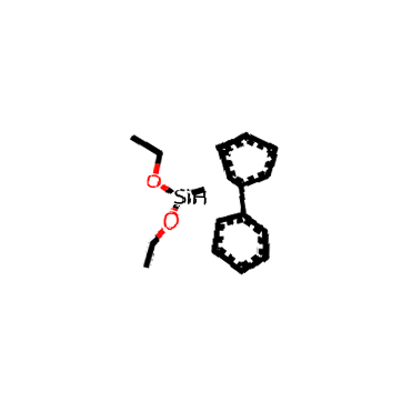 CCO[SiH](C)OCC.c1ccc(-c2ccccc2)cc1